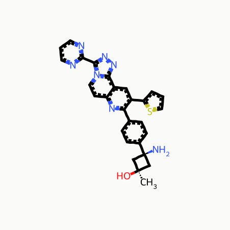 C[C@]1(O)C[C@](N)(c2ccc(-c3nc4ccn5c(-c6ncccn6)nnc5c4cc3-c3cccs3)cc2)C1